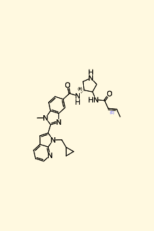 C/C=C/C(=O)NC1CNC[C@H]1NC(=O)c1ccc2c(c1)nc(-c1cc3cccnc3n1CC1CC1)n2C